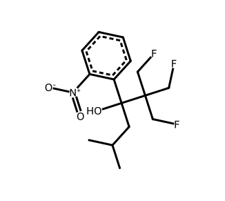 CC(C)CC(O)(c1ccccc1[N+](=O)[O-])C(CF)(CF)CF